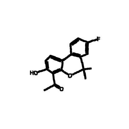 CC(=O)c1c(O)ccc2c1OC(C)(C)c1cc(F)ccc1-2